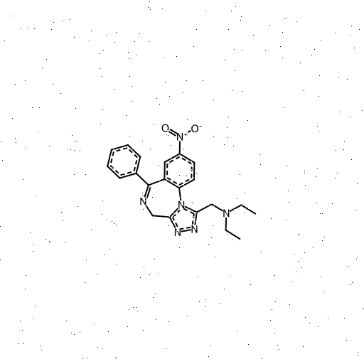 CCN(CC)Cc1nnc2n1-c1ccc([N+](=O)[O-])cc1C(c1ccccc1)=NC2